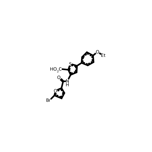 CCOc1ccc(-c2cc(NC(=O)c3ccc(Br)o3)c(C(=O)O)s2)cc1